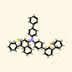 c1ccc(-c2ccc(N(c3ccc(-c4cccc5c4sc4ccccc45)cc3)c3cc4sc5ccccc5c4c4ccccc34)cc2)cc1